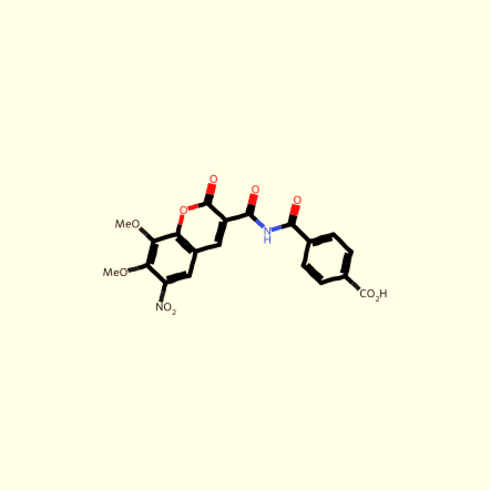 COc1c([N+](=O)[O-])cc2cc(C(=O)NC(=O)c3ccc(C(=O)O)cc3)c(=O)oc2c1OC